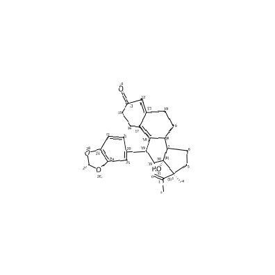 C=C(C)[C@]1(C)CCC2C3CCC4=CC(=O)CCC4=C3C(c3ccc4c(c3)OCO4)C[C@@]21O